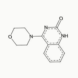 O=c1nc(N2CCOCC2)c2ccccc2[nH]1